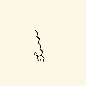 CCC=CCCC=CC(CC)C(=O)O